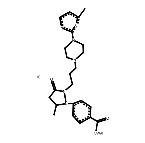 COC(=O)c1ccc(N2C(C)CC(=O)N2CCCN2CCN(c3cc(C)ccn3)CC2)cc1.Cl